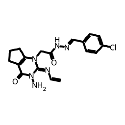 C=C/N=c1/n(CC(=O)N/N=C/c2ccc(Cl)cc2)c2c(c(=O)n1N)CCC2